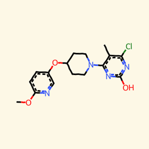 COc1ccc(OC2CCN(c3nc(O)nc(Cl)c3C)CC2)cn1